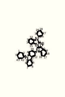 c1ccc(-n2c3ccccc3c3cc(-n4c5ccccc5c5nc6n(-c7ccccc7)c7ccccc7n6c54)ccc32)cc1